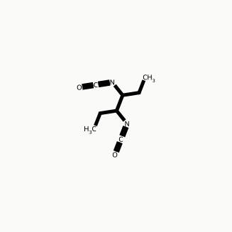 CCC(N=C=O)C(CC)N=C=O